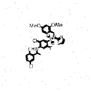 COc1ccc(CN(c2nccs2)S(=O)(=O)c2cc(Cl)c(NC(C)c3cc(Cl)ccc3F)cc2F)c(OC)c1